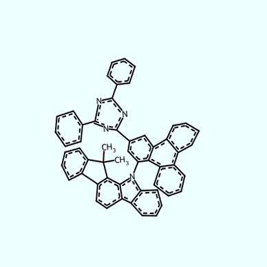 CC1(C)c2ccccc2-c2ccc3c4ccccc4n(-c4cc(-c5nc(-c6ccccc6)nc(-c6ccccc6)n5)cc5c6ccccc6c6ccccc6c45)c3c21